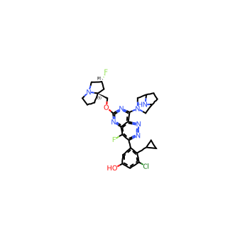 Oc1cc(Cl)c(C2CC2)c(-c2nnc3c(N4CC5CCC(C4)N5)nc(OC[C@@]45CCCN4C[C@H](F)C5)nc3c2F)c1